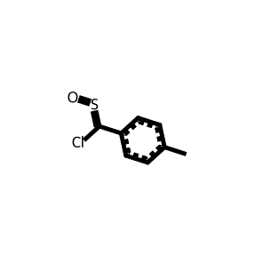 Cc1ccc(C(Cl)=S=O)cc1